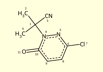 CC(C)(C#N)n1nc(Cl)ccc1=O